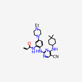 C=CC(=O)Nc1cc(N2CCN(CC)CC2)ccc1Nc1ncc(C#N)c(NC2CCC(C)(C)CC2)n1